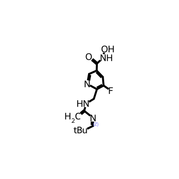 C=C(/N=C\C(C)(C)C)NCc1ncc(C(=O)NO)cc1F